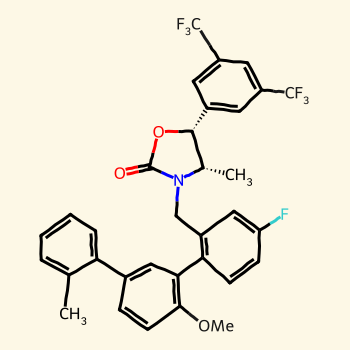 COc1ccc(-c2ccccc2C)cc1-c1ccc(F)cc1CN1C(=O)O[C@H](c2cc(C(F)(F)F)cc(C(F)(F)F)c2)[C@@H]1C